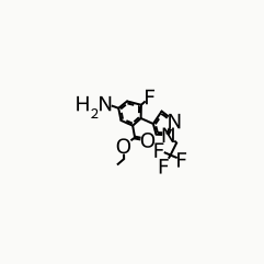 CCOC(=O)c1cc(N)cc(F)c1-c1cnn(CC(F)(F)F)c1